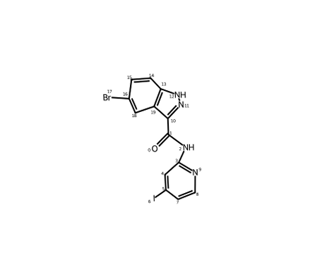 O=C(Nc1cc(I)ccn1)c1n[nH]c2ccc(Br)cc12